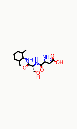 CC1CCCC(C)C1NC(=O)[C@@H](CO)NC(=O)[C@@H](N)CC(=O)O